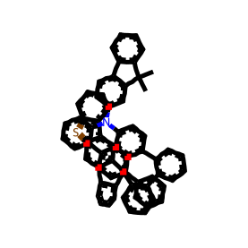 CC1(C)c2ccccc2-c2ccc(N(c3ccc4c(c3)C3(c5ccccc5-c5ccccc5-4)c4ccccc4-c4cc5sc6ccccc6c5cc43)c3ccccc3-c3ccc(-c4ccccc4)cc3)cc21